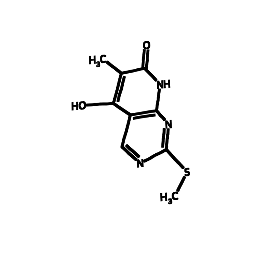 CSc1ncc2c(O)c(C)c(=O)[nH]c2n1